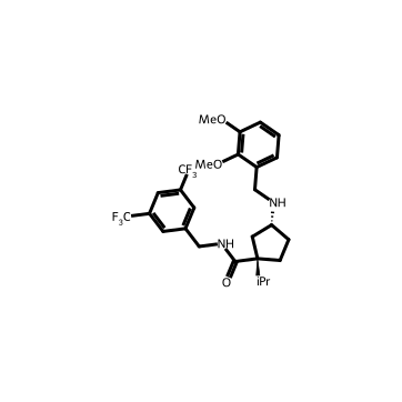 COc1cccc(CN[C@@H]2CC[C@@](C(=O)NCc3cc(C(F)(F)F)cc(C(F)(F)F)c3)(C(C)C)C2)c1OC